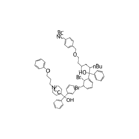 CCCCC(CC(C)CCOCc1ccc(C#N)cc1)C(O)(C1=CC=CC(Br)C1Br)c1ccccc1.OC(c1ccccc1)(c1ccccc1)C12CC[N+](CCCOc3ccccc3)(CC1)CC2.[Br-]